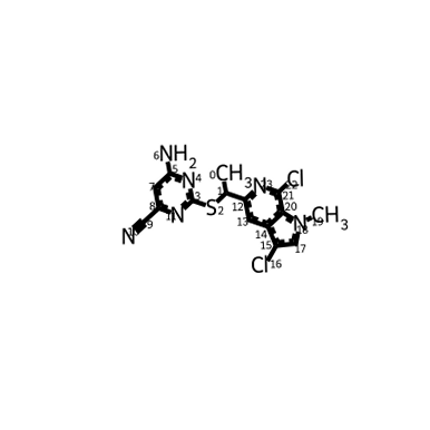 CC(Sc1nc(N)cc(C#N)n1)c1cc2c(Cl)cn(C)c2c(Cl)n1